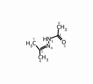 CC(=O)NN=C(C)C